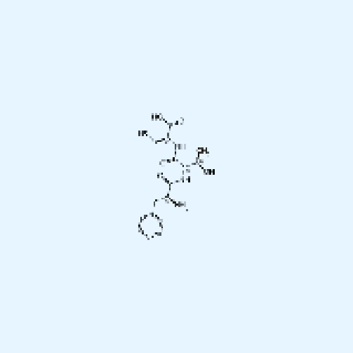 C[C@@H](O)[C@H](NC(=O)[C@@H](N)Cc1ccccc1)C(=O)N[C@@H](CS)C(=O)O